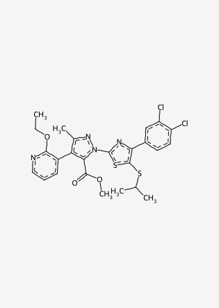 CCOc1ncccc1-c1c(C)nn(-c2nc(-c3ccc(Cl)c(Cl)c3)c(SC(C)C)s2)c1C(=O)OC